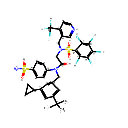 CC(C)(C)c1cc(CN(C(=O)CN(Cc2cnccc2C(F)(F)F)S(=O)(=O)c2c(F)c(F)c(F)c(F)c2F)c2ccc(S(N)(=O)=O)cc2)cc(C2CC2)c1